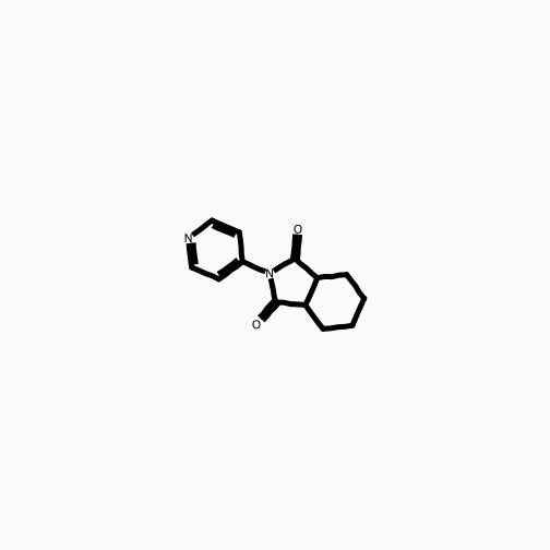 O=C1C2CCCCC2C(=O)N1c1ccncc1